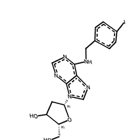 OC[C@H]1O[C@@H](n2cnc3c(NCc4ccc(I)cc4)ncnc32)CC1O